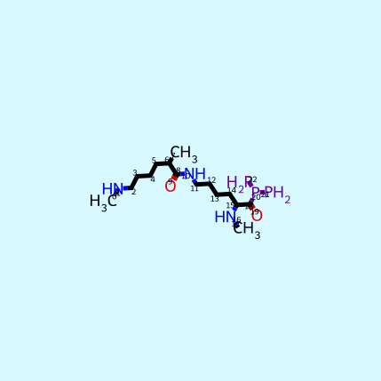 CNCCCCC(C)C(=O)NCCCCC(NC)C(=O)P(P)P